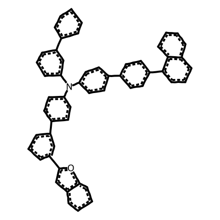 c1ccc(-c2cccc(N(c3ccc(-c4ccc(-c5cccc6ccccc56)cc4)cc3)c3ccc(-c4cccc(-c5cc6ccccc6o5)c4)cc3)c2)cc1